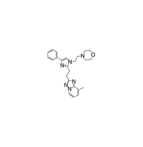 Cc1cccn2nc(CCc3nc(-c4ccccc4)cn3CCN3CCOCC3)nc12